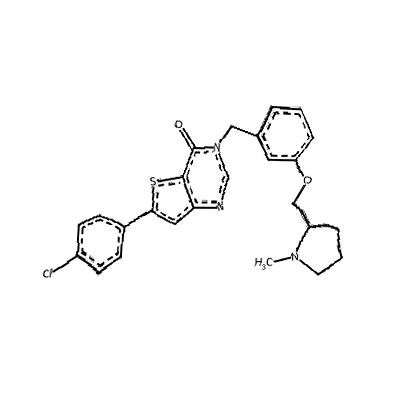 CN1CCCC1COc1cccc(Cn2cnc3cc(-c4ccc(Cl)cc4)sc3c2=O)c1